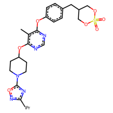 Cc1c(Oc2ccc(CC3COS(=O)(=O)OC3)cc2)ncnc1OC1CCN(c2nc(C(C)C)no2)CC1